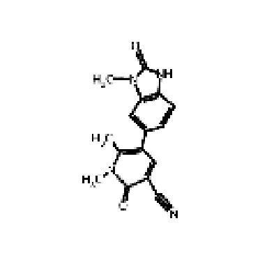 Cc1c(-c2ccc3[nH]c(=O)n(C)c3c2)cc(C#N)c(=O)n1C